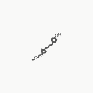 CCOCCOc1ccc(C=CC=Cc2ccc(O)cc2)cc1